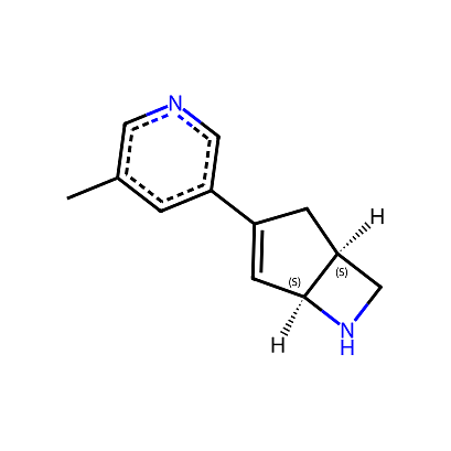 Cc1cncc(C2=C[C@@H]3NC[C@@H]3C2)c1